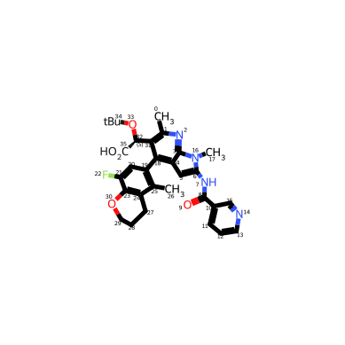 Cc1nc2c(cc(NC(=O)c3cccnc3)n2C)c(-c2cc(F)c3c(c2C)CCCO3)c1[C@H](OC(C)(C)C)C(=O)O